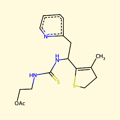 CC(=O)OCCNC(=S)NC(Cc1ccccn1)C1=C(C)CCS1